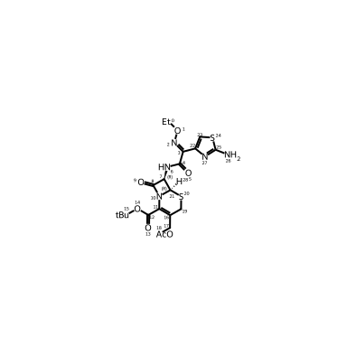 CCON=C(C(=O)N[C@@H]1C(=O)N2C(C(=O)OC(C)(C)C)=C(COC(C)=O)CS[C@H]12)c1csc(N)n1